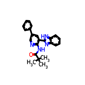 CC(C)(C)C(=O)Nc1ncc(-c2ccccc2)cc1-c1nc2ccccc2[nH]1